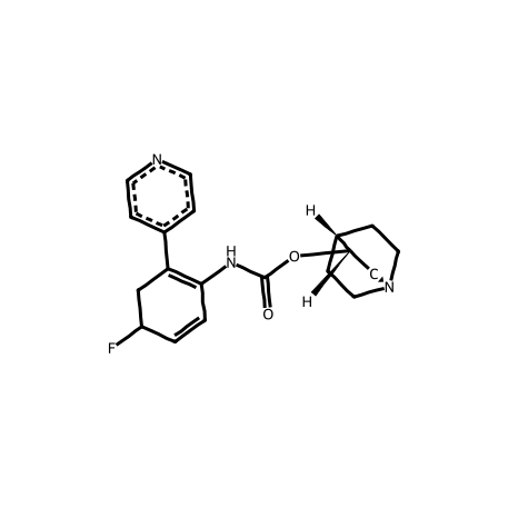 O=C(NC1=C(c2ccncc2)CC(F)C=C1)O[C@H]1C[N@]2CC[C@H]1CC2